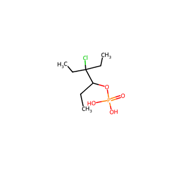 CCC(OP(=O)(O)O)C(Cl)(CC)CC